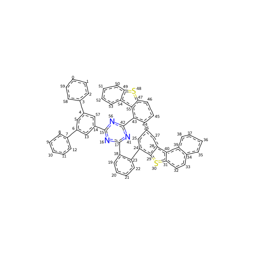 c1ccc(-c2cc(-c3ccccc3)cc(-c3nc(-c4ccccc4-c4cccc5c4sc4ccc6ccccc6c45)nc(-c4cccc5sc6ccccc6c45)n3)c2)cc1